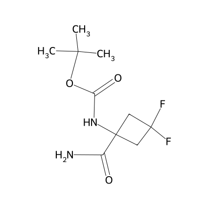 CC(C)(C)OC(=O)NC1(C(N)=O)CC(F)(F)C1